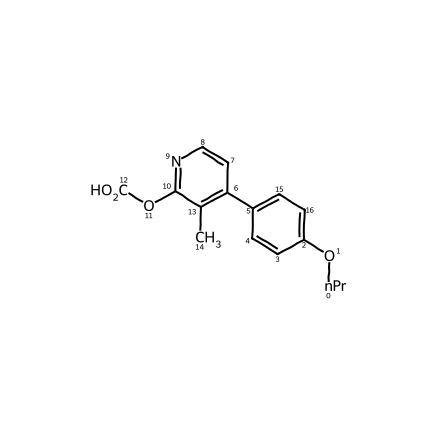 CCCOc1ccc(-c2ccnc(OC(=O)O)c2C)cc1